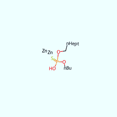 CCCCCCCCOP(O)(=S)OCCCC.[Zn].[Zn]